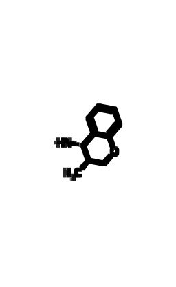 C[C@@H]1COc2ccccc2[C@H]1[NH]